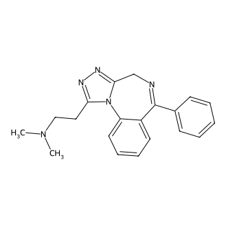 CN(C)CCc1nnc2n1-c1ccccc1C(c1ccccc1)=NC2